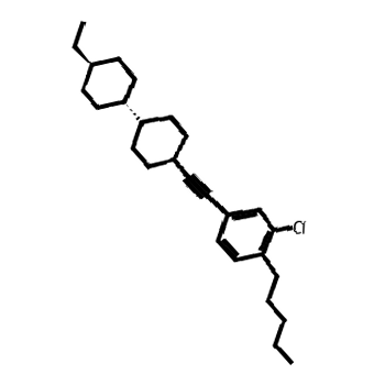 CCCCCc1ccc(C#CC2CCC([C@H]3CC[C@H](CC)CC3)CC2)cc1Cl